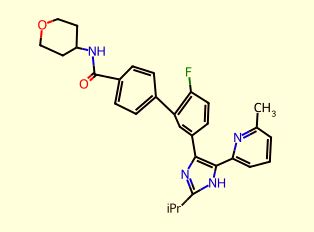 Cc1cccc(-c2[nH]c(C(C)C)nc2-c2ccc(F)c(-c3ccc(C(=O)NC4CCOCC4)cc3)c2)n1